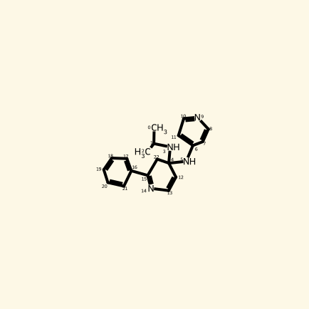 CC(C)NC1(Nc2ccncc2)C=CN=C(c2ccccc2)C1